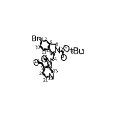 CC(C)(C)OC(=O)N1Cc2cc(Br)ccc2[C@@H]1Cn1oc(=O)c2ccncc21